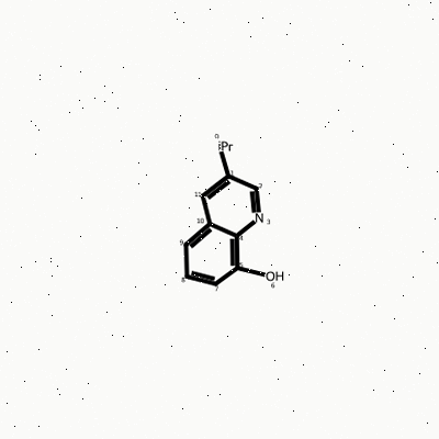 CC(C)c1cnc2c(O)cccc2c1